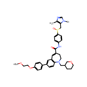 CCCCOCCOc1ccc(-c2ccc3c(c2)C=C(C(=O)Nc2ccc([S+]([O-])Cc4c(C)ncn4CC)cc2)CCN3CC2CCCOC2)cc1